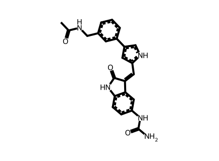 CC(=O)NCc1cccc(-c2c[nH]c(C=C3C(=O)Nc4ccc(NC(N)=O)cc43)c2)c1